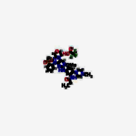 C=CC(=O)Nc1cc(Nc2ncc(N3CCOCC3)c(Nc3ccccc3S(=O)(=O)C(C)C)n2)c(OC)cc1N1CCN(C)CC1.O=C(O)C(F)(F)F